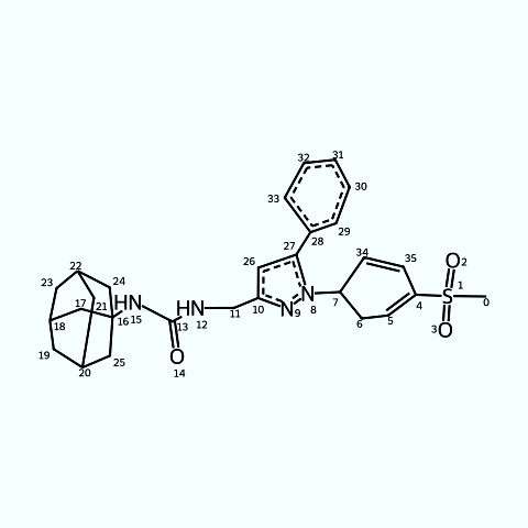 CS(=O)(=O)C1=CCC(n2nc(CNC(=O)NC34CC5CC(CC(C5)C3)C4)cc2-c2ccccc2)C=C1